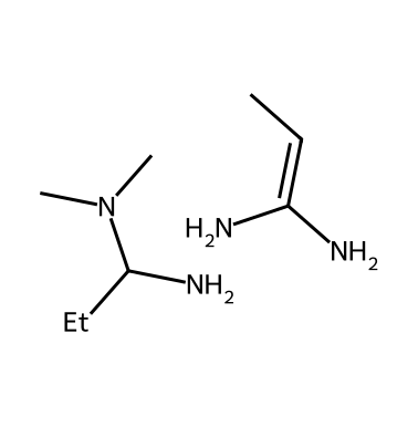 CC=C(N)N.CCC(N)N(C)C